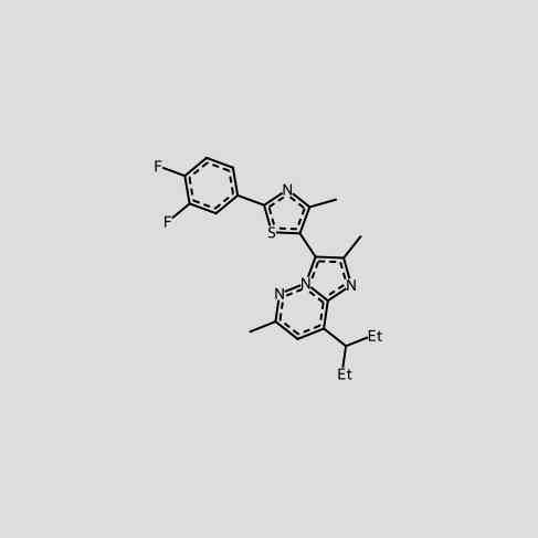 CCC(CC)c1cc(C)nn2c(-c3sc(-c4ccc(F)c(F)c4)nc3C)c(C)nc12